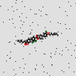 C=CCCOc1ccc(C2CCC(OC(=O)c3ccc(-c4ccc(C(O)CCC)cc4)c(F)c3F)CC2)cc1F